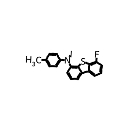 Cc1ccc(N(I)c2cccc3c2sc2c(F)cccc23)cc1